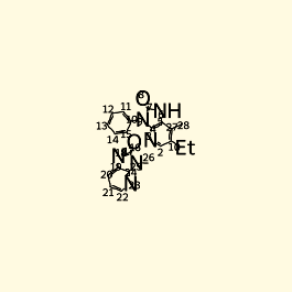 CCc1cnc2c([nH]c(=O)n2-c2ccccc2Oc2nc3cccnc3n2C)c1C